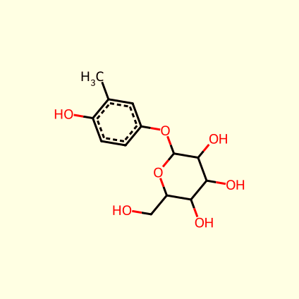 Cc1cc(OC2OC(CO)C(O)C(O)C2O)ccc1O